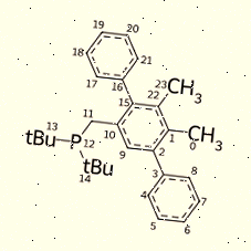 Cc1c(-c2ccccc2)cc(CP(C(C)(C)C)C(C)(C)C)c(-c2ccccc2)c1C